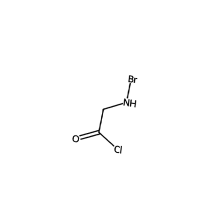 O=C(Cl)CNBr